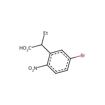 CCC(C(=O)O)c1cc(Br)ccc1[N+](=O)[O-]